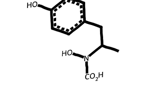 CC(Cc1ccc(O)cc1)N(O)C(=O)O